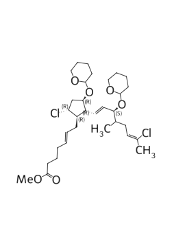 COC(=O)CCCC=CC[C@@H]1[C@@H](C=C[C@@H](OC2CCCCO2)C(C)CC=C(C)Cl)[C@H](OC2CCCCO2)C[C@H]1Cl